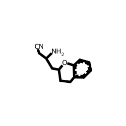 N#CCC(N)CC1CCc2ccccc2O1